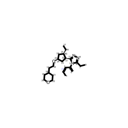 C=C(/C=C\C)n1c(CC)nnc1[C@H]1C[C@@H](OCCC2CCOCC2)C[C@H]1CC